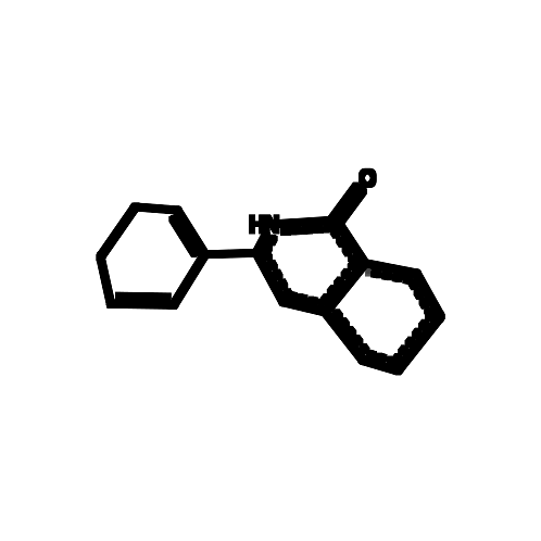 O=c1[nH]c(C2=CCCC=C2)cc2ccccc12